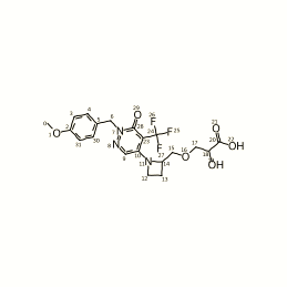 COc1ccc(Cn2ncc(N3CCC3COCC(O)C(=O)O)c(C(F)(F)F)c2=O)cc1